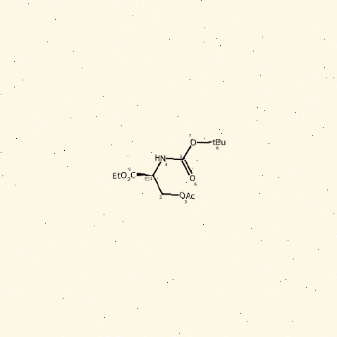 CCOC(=O)[C@H](COC(C)=O)NC(=O)OC(C)(C)C